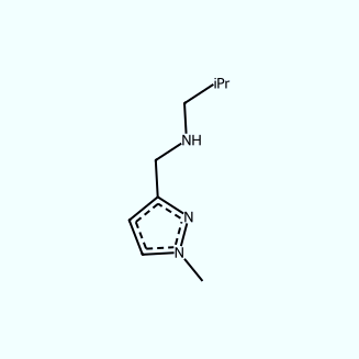 CC(C)CNCc1ccn(C)n1